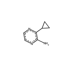 Nc1nccnc1C1CC1